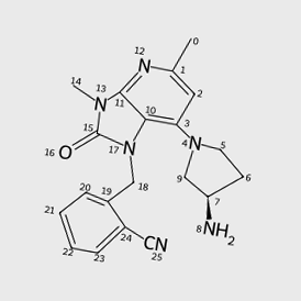 Cc1cc(N2CC[C@@H](N)C2)c2c(n1)n(C)c(=O)n2Cc1ccccc1C#N